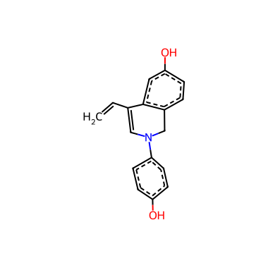 C=CC1=CN(c2ccc(O)cc2)Cc2ccc(O)cc21